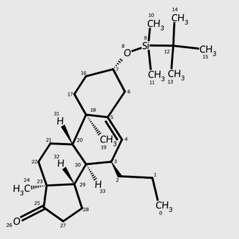 CCC[C@@H]1C=C2C[C@@H](O[Si](C)(C)C(C)(C)C)CC[C@]2(C)[C@H]2CC[C@]3(C)C(=O)CC[C@H]3[C@H]12